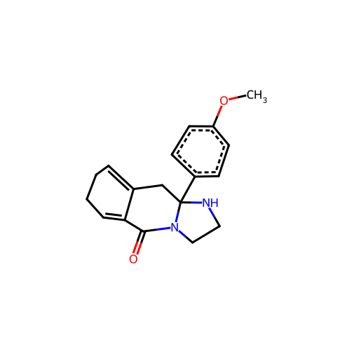 COc1ccc(C23CC4=CCCC=C4C(=O)N2CCN3)cc1